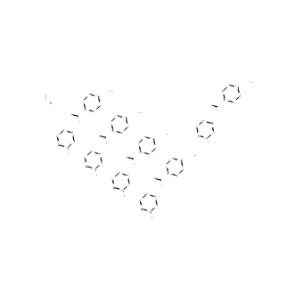 CCOc1ccc(C(=O)Oc2ccc([S])c(F)c2)cc1.CCOc1ccc(C(=O)Oc2ccc([S])c(F)c2)cc1.CCOc1ccc(C(=O)Oc2ccc([S])c(F)c2)cc1.CCOc1ccc(C(=O)Oc2ccc([S])c(F)c2)cc1.CCOc1ccc(C(=O)Oc2ccc([S])c(F)c2)cc1.F.F.F.F.F